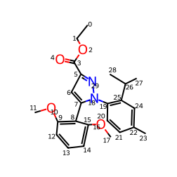 CCOC(=O)c1cc(-c2c(OC)cccc2OC)n(-c2ccc(C)cc2C(C)C)n1